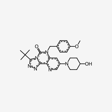 COc1ccc(Cn2c(=O)n3c(C(C)(C)C)nnc3c3ncc(N4CCC(O)CC4)cc32)cc1